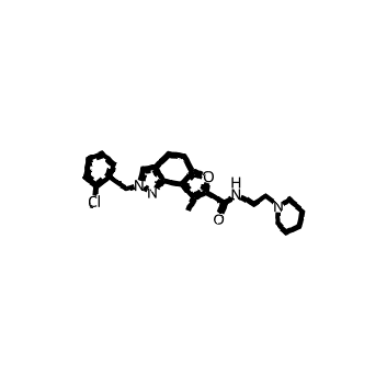 Cc1c(C(=O)NCCN2CCCCC2)oc2c1-c1nn(Cc3ccccc3Cl)cc1CC2